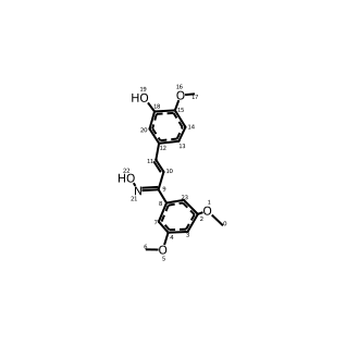 COc1cc(OC)cc(C(/C=C/c2ccc(OC)c(O)c2)=NO)c1